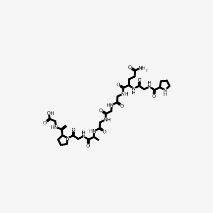 C=C(NCC(=O)O)C1CCCN1C(=O)CNC(=O)C(C)NC(=O)CNC(=O)CNC(=O)CNC(=O)C(CCC(N)=O)NC(=O)CNC(=O)C1CCCN1